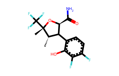 C[C@H]1C(c2ccc(F)c(F)c2O)[C@H](C(N)=O)O[C@@]1(C)C(F)(F)F